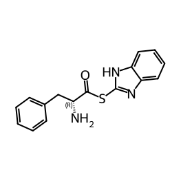 N[C@H](Cc1ccccc1)C(=O)Sc1nc2ccccc2[nH]1